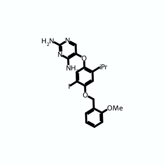 COc1ccccc1COc1cc(C(C)C)c(Oc2cnc(N)nc2N)cc1I